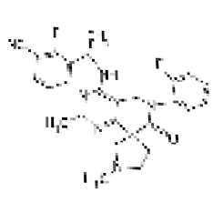 Cc1nc(N[C@H](C)c2cccc(C#N)c2F)c2c(n1)C1(CCN(C)C1)C(=O)N(c1ccccc1F)C2